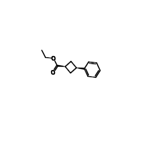 CCOC(=O)[C@H]1C[C@@H](c2ccccc2)C1